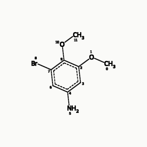 COc1cc(N)cc(Br)c1OC